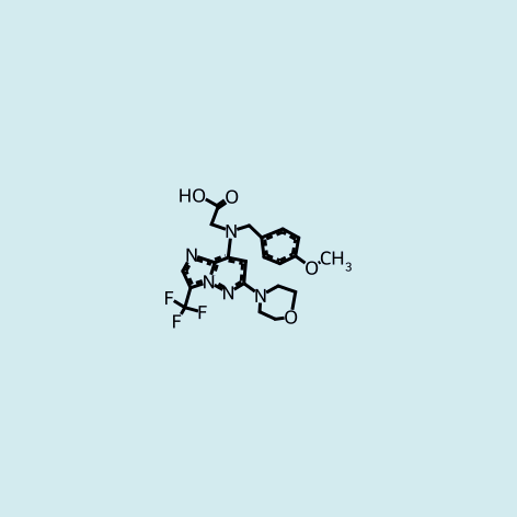 COc1ccc(CN(CC(=O)O)c2cc(N3CCOCC3)nn3c(C(F)(F)F)cnc23)cc1